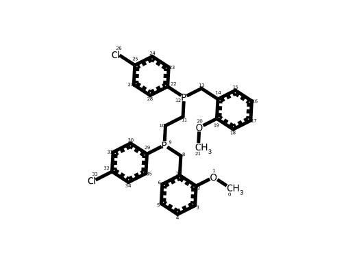 COc1ccccc1CP(CCP(Cc1ccccc1OC)c1ccc(Cl)cc1)c1ccc(Cl)cc1